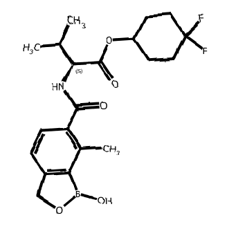 Cc1c(C(=O)N[C@H](C(=O)OC2CCC(F)(F)CC2)C(C)C)ccc2c1B(O)OC2